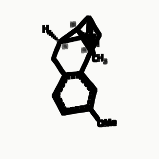 COc1ccc2c(c1)[C@@]13CCCCC4(C1)[C@@H]3[C@H](C2)N4C